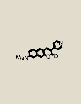 CNc1ccc2cc3cc(-c4ccncc4)c(=O)oc3cc2c1